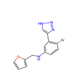 Brc1ccc(NCc2ccco2)cc1-c1c[nH]nn1